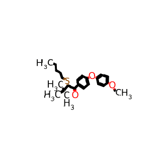 CCCCCSC(C(=O)c1ccc(Oc2ccc(OCC)cc2)cc1)C(C)(C)C